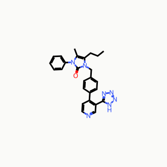 CCCc1c(C)n(-c2ccccc2)c(=O)n1Cc1ccc(-c2ccncc2-c2nnn[nH]2)cc1